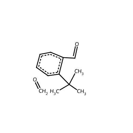 C=O.CC(C)(C)c1ccccc1C=O